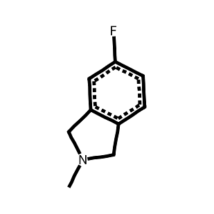 CN1Cc2ccc(F)cc2C1